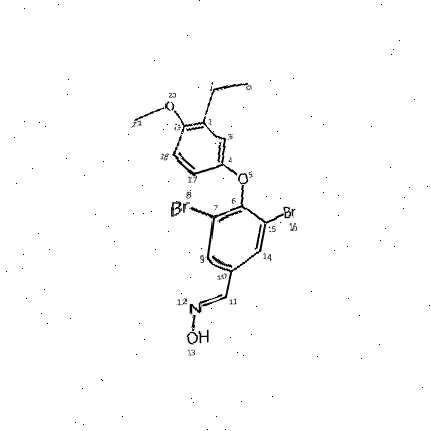 CCc1cc(Oc2c(Br)cc(C=NO)cc2Br)ccc1OC